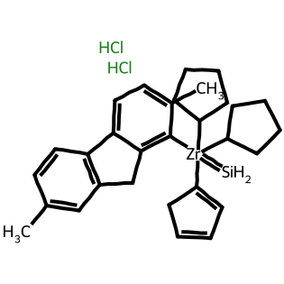 Cc1ccc2c(c1)Cc1c-2ccc(C)[c]1[Zr](=[SiH2])([C]1=CC=CC1)([CH]1CCCC1)[CH]1CCCC1.Cl.Cl